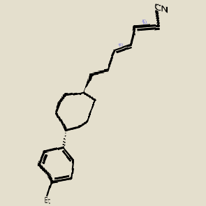 CCc1ccc([C@H]2CC[C@H](CC/C=C/C=C/C#N)CC2)cc1